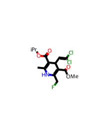 COC(=O)C1=C(CF)NC(C)=C(C(=O)OC(C)C)C1C=C(Cl)Cl